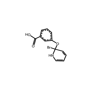 O=C(O)c1cccc(OC2(Br)C=CC=CN2)c1